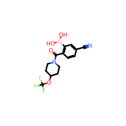 N#Cc1ccc(C(=O)N2CCC(OC(F)(F)F)CC2)c(B(O)O)c1